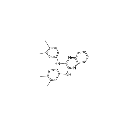 Cc1ccc(Nc2nc3ccccc3nc2Nc2ccc(C)c(C)c2)cc1C